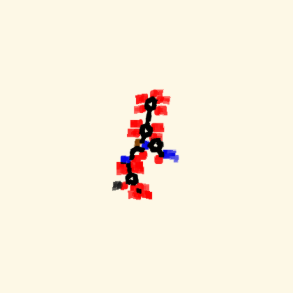 CCOc1cc(C(O)(O)C(O)(O)NC(=O)CC2SC(c3c(O)c(O)c(C#Cc4c(O)c(O)c(O)c(O)c4O)c(O)c3O)N(c3cccc(C(N)=O)c3)C2=O)ccc1OC(O)(O)O